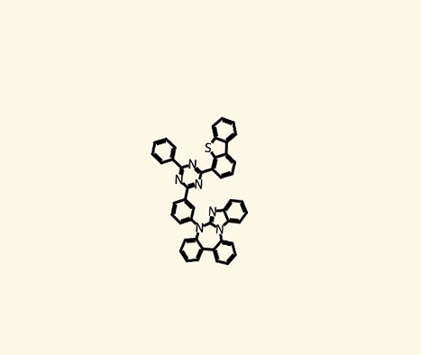 c1ccc(-c2nc(-c3cccc(N4c5ccccc5-c5ccccc5-n5c4nc4ccccc45)c3)nc(-c3cccc4c3sc3ccccc34)n2)cc1